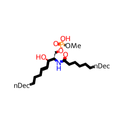 CCCCCCCCCCCCC/C=C/[C@@H](O)[C@H](COP(=O)(O)OC)NC(=O)CCCCCCCCCCCCCCC